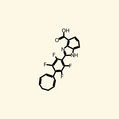 O=C(O)c1cccc2[nH]c(-c3c(F)c(F)c(C4=C/C=C\CC/C=C\4)c(F)c3F)nc12